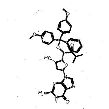 COc1ccc(C(OC(C(=O)C(C)C)[C@H]2O[C@@H](n3cnc4c(=O)[nH]c(N)nc43)C[C@@H]2O)(c2ccccc2)c2ccc(OC)cc2)cc1